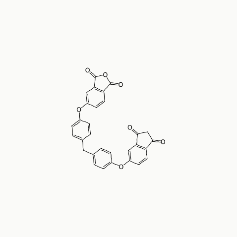 O=C1CC(=O)c2cc(Oc3ccc(Cc4ccc(Oc5ccc6c(c5)C(=O)OC6=O)cc4)cc3)ccc21